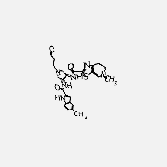 Cc1ccc2[nH]c(C(=O)N[C@@H]3CN(CCC=O)C[C@H]3NC(=O)c3nc4c(s3)CN(C)CC4)cc2c1